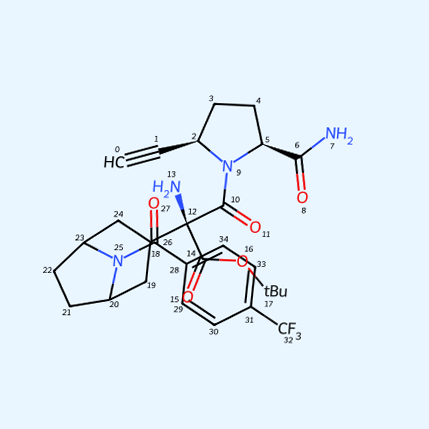 C#C[C@H]1CC[C@@H](C(N)=O)N1C(=O)[C@](N)(C(=O)OC(C)(C)C)C1CC2CCC(C1)N2C(=O)c1ccc(C(F)(F)F)cc1